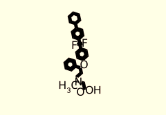 CN(CCC(Oc1ccc(C(F)(F)c2ccc(C3CCCCC3)cc2)cc1)c1ccccc1)CC(=O)O